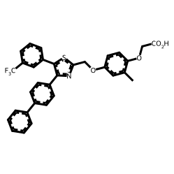 Cc1cc(OCc2nc(-c3ccc(-c4ccccc4)cc3)c(-c3cccc(C(F)(F)F)c3)s2)ccc1OCC(=O)O